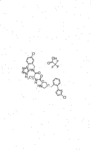 C[C@H](NC(=O)[C@H]1C[C@H](Cc2ccccc2-c2ccc(Cl)s2)CN1)C(=O)NCc1cc(Cl)ccc1-n1cnnn1.O=C(O)C(F)(F)F